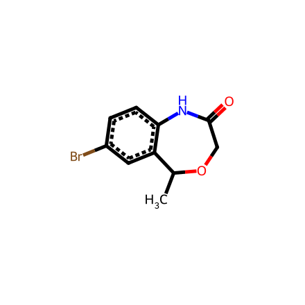 CC1OCC(=O)Nc2ccc(Br)cc21